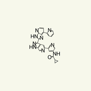 O=C(Nc1cncc(-c2cc3c(-c4nc5c(-c6ccccn6)ccnc5[nH]4)n[nH]c3cn2)c1)C1CC1